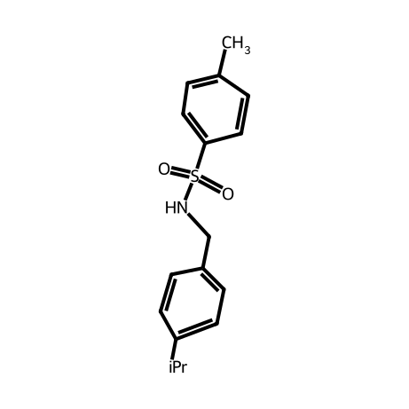 Cc1ccc(S(=O)(=O)NCc2ccc(C(C)C)cc2)cc1